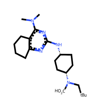 CN(C)c1nc(N[C@H]2CC[C@@H](N(CC(C)(C)C)C(=O)O)CC2)nc2c1CCCC2